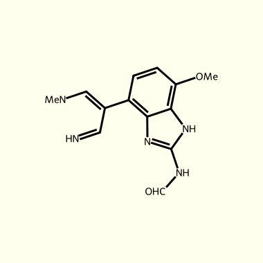 CN/C=C(\C=N)c1ccc(OC)c2[nH]c(NC=O)nc12